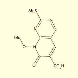 CSc1ncc2cc(C(=O)O)c(=O)n(OC(C)(C)C)c2n1